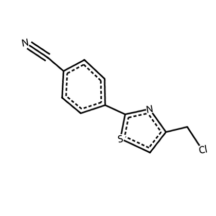 N#Cc1ccc(-c2nc(CCl)cs2)cc1